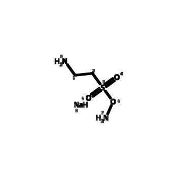 NCCS(=O)(=O)ON.[NaH]